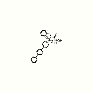 O=C(NO)C(Cc1ccccc1)S(=O)(=O)N1CC=C(c2ccc(-c3ccccc3)cc2)CC1